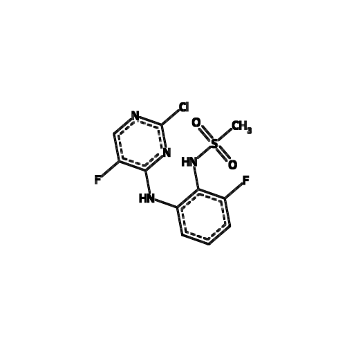 CS(=O)(=O)Nc1c(F)cccc1Nc1nc(Cl)ncc1F